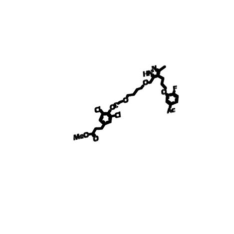 COC(=O)CCc1cc(Cl)c(OCCOCCCCOCc2[nH]nc(C)c2CCCOc2cc(C(C)=O)ccc2F)c(Cl)c1